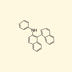 [c]1ccc(Nc2ccc3ccccc3c2-c2cccc3ccccc23)cc1